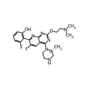 C[C@@H]1CNCCN1c1nc(OCCN(C)C)nc2nc(-c3c(O)cccc3F)c(F)cc12